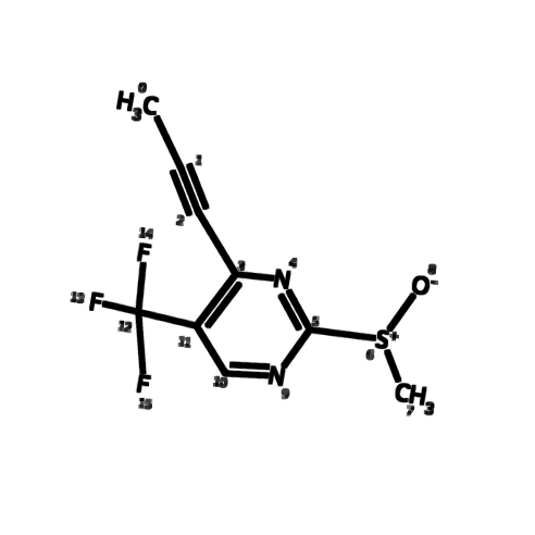 CC#Cc1nc([S+](C)[O-])ncc1C(F)(F)F